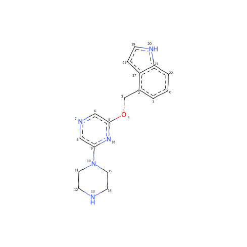 c1cc(COc2cncc(N3CCNCC3)n2)c2cc[nH]c2c1